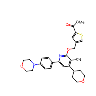 COC(=O)c1cc(COc2nc(-c3ccc(N4CCOCC4)cc3)cc(C3CCOCC3)c2C#N)cs1